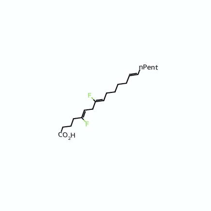 CCCCCC=CCCCCC=C(F)CC=C(F)CCCC(=O)O